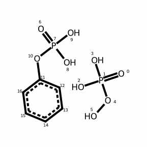 O=P(O)(O)OO.O=P(O)(O)Oc1ccccc1